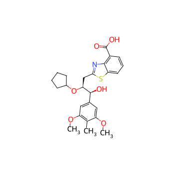 COc1cc([C@H](O)[C@H](Cc2nc3c(C(=O)O)cccc3s2)OC2CCCC2)cc(OC)c1C